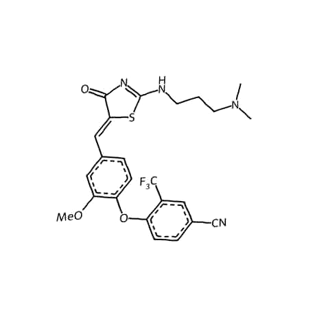 COc1cc(/C=C2\SC(NCCCN(C)C)=NC2=O)ccc1Oc1ccc(C#N)cc1C(F)(F)F